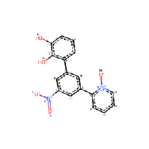 O=[N+]([O-])c1cc(-c2cccc(O)c2O)cc(-c2cccc[n+]2[O-])c1